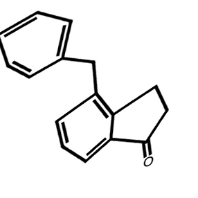 O=C1CCc2c(Cc3ccccc3)cccc21